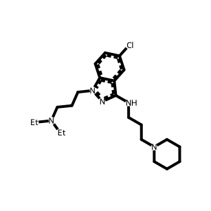 CCN(CC)CCCn1nc(NCCCN2CCCCC2)c2cc(Cl)ccc21